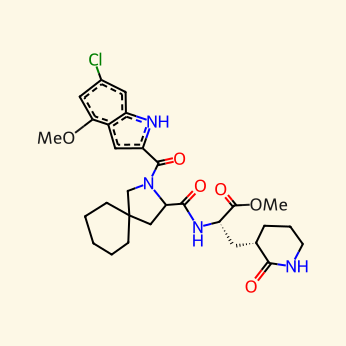 COC(=O)[C@H](C[C@@H]1CCCNC1=O)NC(=O)C1CC2(CCCCC2)CN1C(=O)c1cc2c(OC)cc(Cl)cc2[nH]1